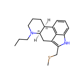 CCCN1CCC[C@H]2c3cccc4[nH]c(CSC)c(c34)C[C@H]21